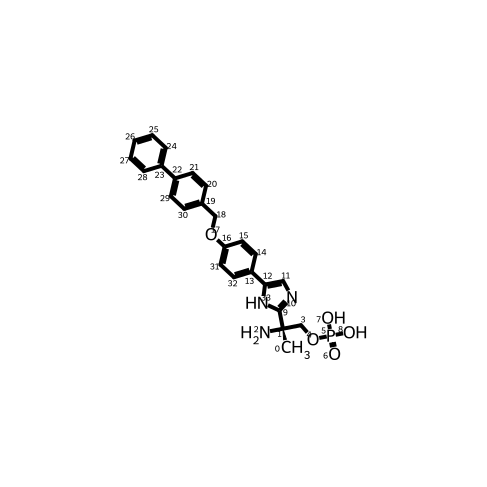 C[C@](N)(COP(=O)(O)O)c1ncc(-c2ccc(OCc3ccc(-c4ccccc4)cc3)cc2)[nH]1